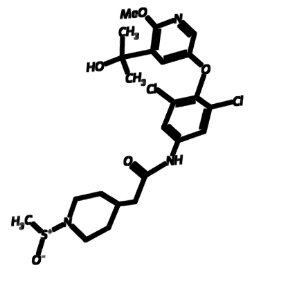 COc1ncc(Oc2c(Cl)cc(NC(=O)CC3CCN([S+](C)[O-])CC3)cc2Cl)cc1C(C)(C)O